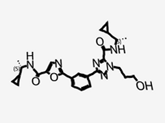 C[C@H](NC(=O)c1cnc(-c2cccc(-c3nc(C(=O)N[C@@H](C)C4CC4)n(CCCO)n3)c2)o1)C1CC1